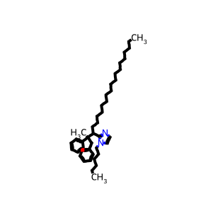 CCCCCCCCCCCCCCCCCCC(c1nccn1CCCCCC)C(C)(Cc1ccccc1)c1ccccc1